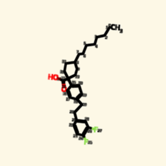 CCCCCCCCC1CCC(C(=O)O)(c2ccc(CCc3ccc(F)c(F)c3)cc2)CC1